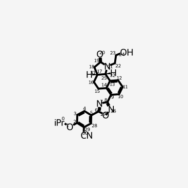 CC(C)Oc1ccc(-c2nc(-c3cccc4c3CC[C@@H]3CC(=O)N(CCO)[C@H]43)no2)cc1C#N